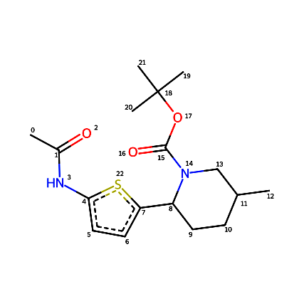 CC(=O)Nc1ccc(C2CCC(C)CN2C(=O)OC(C)(C)C)s1